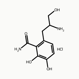 Cl.NC(=O)c1c(CC(N)CO)ccc(O)c1O